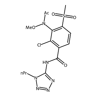 CCCn1nnnc1NC(=O)c1ccc(S(C)(=O)=O)c(N(OC)C(C)=O)c1Cl